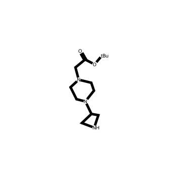 CC(C)(C)OC(=O)CN1CCN(C2CNC2)CC1